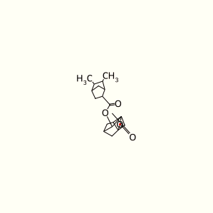 CC1C2CC(C(=O)OC3C4CC5C6(C4)CC35OC6=O)C(C2)C1C